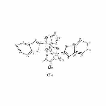 CCC(C)(C1=Cc2ccccc2C1)[C]1([Zr+2][C]2(C(C)(CC)C3=Cc4ccccc4C3)C=CC=C2)C=CC=C1.[Cl-].[Cl-]